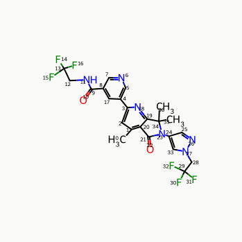 Cc1cc(-c2cncc(C(=O)NCC(F)(F)F)c2)nc2c1C(=O)N(c1cnn(CC(F)(F)F)c1)C2(C)C